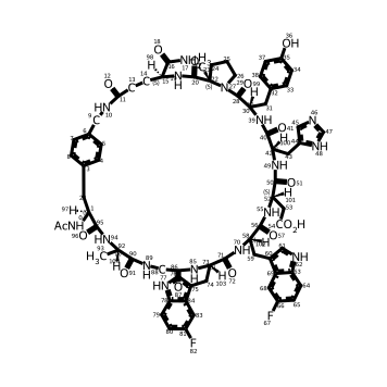 CC(=O)N[C@H]1Cc2ccc(cc2)CNC(=O)CC[C@@H](C(N)=O)NC(=O)[C@]2(C)CCCN2C(=O)[C@H](Cc2ccc(O)cc2)NC(=O)[C@H](Cc2cnc[nH]2)NC(=O)[C@H](CC(=O)O)NC(=O)[C@H](Cc2c[nH]c3ccc(F)cc23)NC(=O)[C@H](Cc2c[nH]c3ccc(F)cc23)NC(=O)CNC(=O)[C@H](C)NC1=O